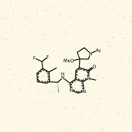 COC1(c2cc3c(N[C@H](C)c4cccc(C(F)F)c4C)ncnc3n(C)c2=O)CCN(C(C)=O)C1